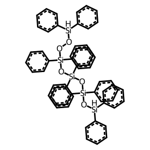 c1ccc([SiH](OO[Si](O[Si](O[Si](O[SiH](c2ccccc2)c2ccccc2)(c2ccccc2)c2ccccc2)(c2ccccc2)c2ccccc2)(c2ccccc2)c2ccccc2)c2ccccc2)cc1